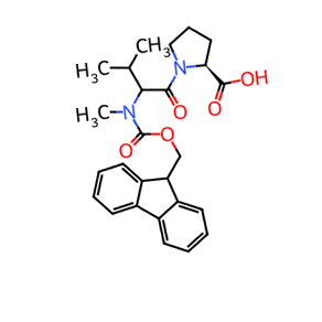 CC(C)C(C(=O)N1CCC[C@H]1C(=O)O)N(C)C(=O)OCC1c2ccccc2-c2ccccc21